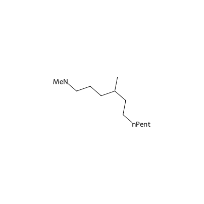 CCCCCCCC(C)CCCNC